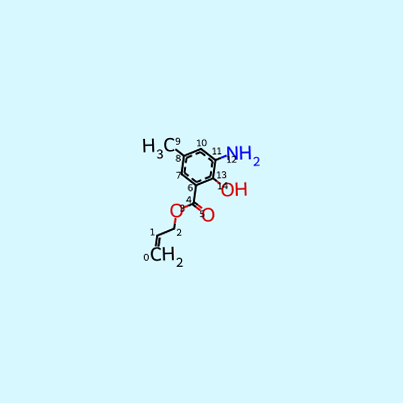 C=CCOC(=O)c1cc(C)cc(N)c1O